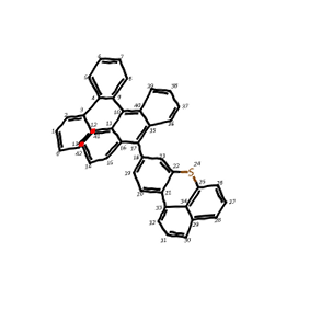 c1ccc(-c2ccccc2-c2c3ccccc3c(-c3ccc4c(c3)Sc3cccc5cccc-4c35)c3ccccc23)cc1